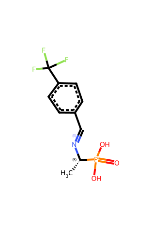 C[C@H](/N=C/c1ccc(C(F)(F)F)cc1)P(=O)(O)O